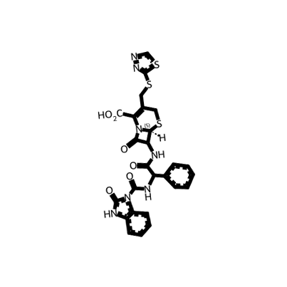 O=C(O)C1=C(CSc2nncs2)CS[C@H]2C(NC(=O)C(NC(=O)n3c(=O)[nH]c4ccccc43)c3ccccc3)C(=O)N12